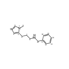 Cn1cncc1CCCNCc1ccccc1